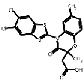 Cc1ccc2c(c1)N(c1nc3cc(Cl)c(Cl)cc3s1)C(=O)C(C)(CC(=O)O)O2